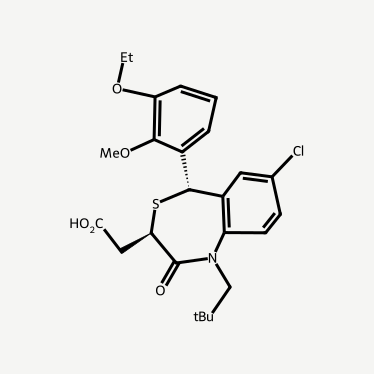 CCOc1cccc([C@H]2S[C@H](CC(=O)O)C(=O)N(CC(C)(C)C)c3ccc(Cl)cc32)c1OC